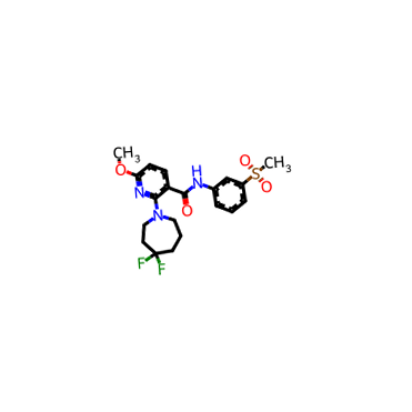 COc1ccc(C(=O)Nc2cccc(S(C)(=O)=O)c2)c(N2CCCC(F)(F)CC2)n1